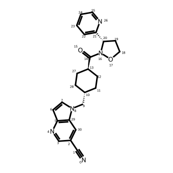 N#Cc1cnc2ccn(C[C@H]3CC[C@H](C(=O)N4OCC[C@H]4c4ccccn4)CC3)c2c1